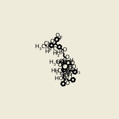 CC(=O)O[C@H]1C(=O)[C@@]2(C)C([C@H](OC(=O)c3ccccc3)[C@]3(O)C[C@H](OC(O)[C@H](O)[C@@H](NC(=O)c4ccccc4)c4ccccc4)C(C)=C1C3(C)C)[C@]1(OC(C)=O)CO[C@@H]1C[C@@H]2OC(=O)CCNC(=O)c1ccc(-c2c3cc(F)c(=O)cc-3oc3cc(NC(C)C)c(F)cc23)c(C)c1